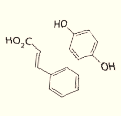 O=C(O)C=Cc1ccccc1.Oc1ccc(O)cc1